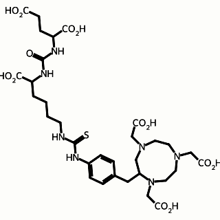 O=C(O)CCC(NC(=O)NC(CCCCNC(=S)Nc1ccc(CC2CN(CC(=O)O)CCN(CC(=O)O)CCN2CC(=O)O)cc1)C(=O)O)C(=O)O